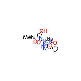 CNC(=O)[C@@H]1C[C@@H](O)CN1C(=O)[C@@H](n1cc(CC2(OC(N)=O)CCCCC2)nn1)C(C)(C)C